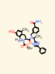 Cc1cc(O)cc(C)c1CC(NC(=O)OC(C)(C)C)C(=O)N(Cc1cccc(C(N)=O)c1)C(C)c1nc(-c2ccccc2)c[nH]1